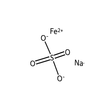 O=S(=O)([O-])[O-].[Fe+2].[Na]